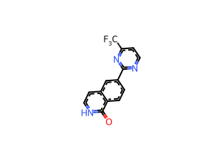 O=c1[nH]ccc2cc(-c3nccc(C(F)(F)F)n3)ccc12